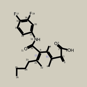 C=C(C(=O)O)/C(C)=C(C)/C(C(=O)Nc1ccc(F)c(F)c1)=C(\C)CCCC